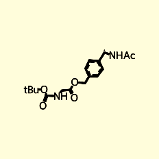 CC(=O)N[CH]c1ccc(COC(=O)CNC(=O)OC(C)(C)C)cc1